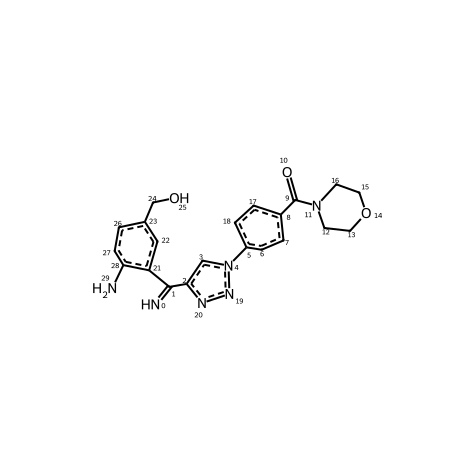 N=C(c1cn(-c2ccc(C(=O)N3CCOCC3)cc2)nn1)c1cc(CO)ccc1N